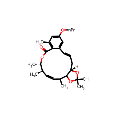 CCCOc1cc(C)c2c(c1)/C=C/C[C@@H]1OC(C)(C)OC1C(C)/C=C\[C@@H](C)[C@H](C)OC2=O